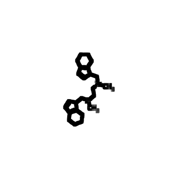 [CH3][Zr]([CH2][CH2][Zr]([CH3])[CH2]C1C=CC2=C1CCCC2)[CH2]C1C=CC2=C1CCCC2